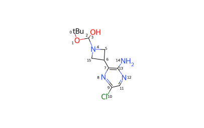 CC(C)(C)OC(O)N1CC(c2nc(Cl)cnc2N)C1